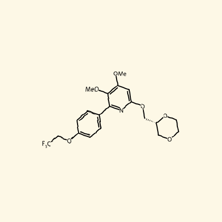 COc1cc(OC[C@H]2COCCO2)nc(-c2ccc(OCC(F)(F)F)cc2)c1OC